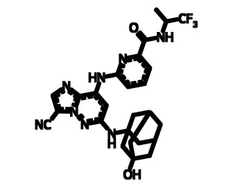 CC(NC(=O)c1cccc(Nc2cc(NC34CC5CC(CC(O)(C5)C3)C4)nn3c(C#N)cnc23)n1)C(F)(F)F